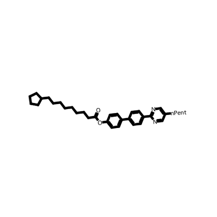 CCCCCc1cnc(-c2ccc(-c3ccc(OC(=O)CCCCCCCCC4CCCC4)cc3)cc2)nc1